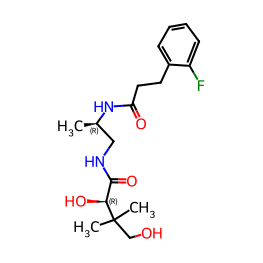 C[C@H](CNC(=O)[C@H](O)C(C)(C)CO)NC(=O)CCc1ccccc1F